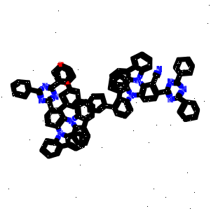 N#Cc1c(-c2nc(-c3ccccc3)nc(-c3ccccc3)n2)ccc(-n2c3ccccc3c3c(-c4ccc(-c5cc(-c6ccccc6)cc(-c6c(-c7nc(-c8ccccc8)nc(-c8ccccc8)n7)ccc(-n7c8ccccc8c8ccccc87)c6-n6c7ccccc7c7ccccc76)c5)cc4)cccc32)c1-n1c2ccccc2c2ccccc21